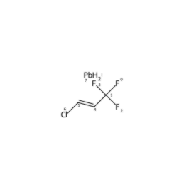 FC(F)(F)C=CCl.[PbH2]